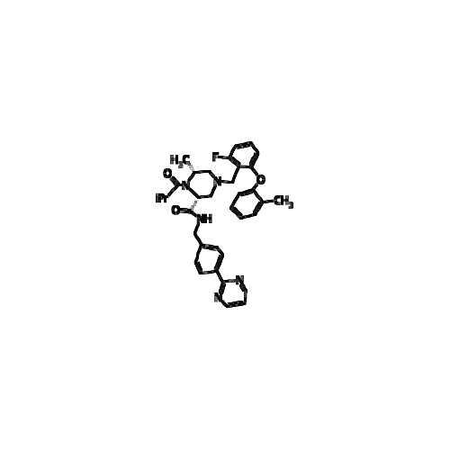 Cc1ccccc1Oc1cccc(F)c1CN1C[C@@H](C)N(C(=O)C(C)C)[C@@H](C(=O)NCc2ccc(-c3ncccn3)cc2)C1